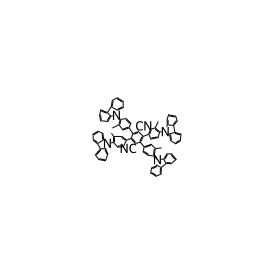 Cc1cc(-c2c(C#N)c(-c3ccc(-n4c5ccccc5c5ccccc54)c(C)c3)c(-c3ccc(-n4c5ccccc5c5ccccc54)c(C)c3)c(C#N)c2-c2ccc(-n3c4ccccc4c4ccccc43)c(C)c2)ccc1-n1c2ccccc2c2ccccc21